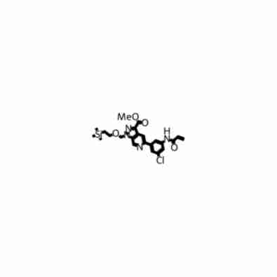 C=CC(=O)Nc1cc(Cl)cc(-c2cc3c(C(=O)OC)nn(COCC[Si](C)(C)C)c3cn2)c1